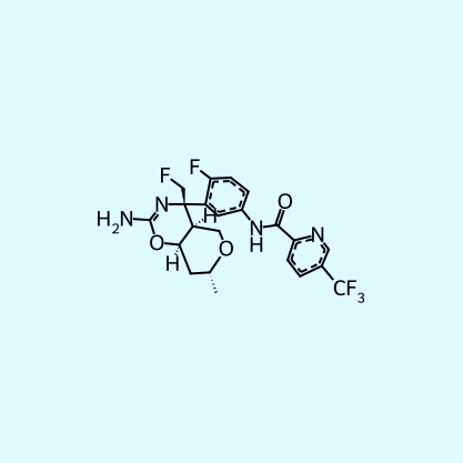 C[C@@H]1C[C@H]2OC(N)=N[C@](CF)(c3cc(NC(=O)c4ccc(C(F)(F)F)cn4)ccc3F)[C@H]2CO1